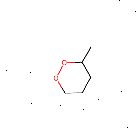 C[C]1CCCOO1